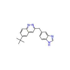 CC(C)(C)c1ccc2nnc(Cc3ccc4[nH]cnc4c3)cc2c1